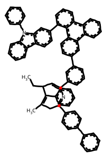 CCC1/C=C(c2cccc(-c3ccc4c(c3)c3ccccc3c3cccc(-c5ccc6c7ccccc7n(-c7ccccc7)c6c5)c34)c2)\N=C(\c2ccc(-c3ccccc3)cc2)C/C(C)=C/1c1ccccc1